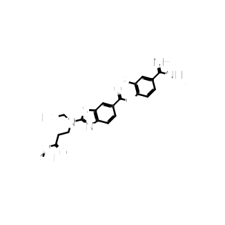 CCN(CCC(=O)OC)c1nc2ccc(C(=O)Oc3ccc(C(=N)N)cc3F)cc2s1